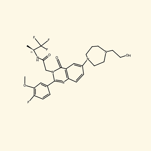 COc1cc(-c2nc3ccc(N4CCCN(CCO)CC4)cc3c(=O)n2CC(=O)N[C@@H](C)C(F)(F)F)ccc1F